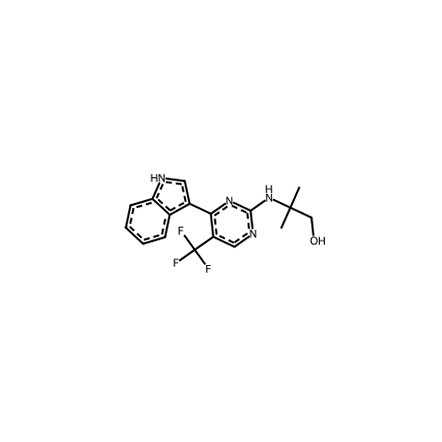 CC(C)(CO)Nc1ncc(C(F)(F)F)c(-c2c[nH]c3ccccc23)n1